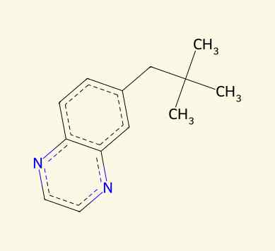 CC(C)(C)Cc1ccc2nccnc2c1